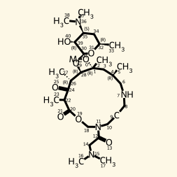 CO[C@]1(C)C[C@@H](C)CNCCCN(C(=O)CN(C)C)COC(=O)C(C)C(=O)[C@H](C)[C@H]1O[C@@H]1O[C@H](C)C[C@H](N(C)C)[C@H]1O